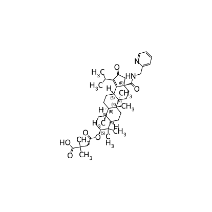 CC(C)C1=C2[C@H]3CC[C@@H]4[C@@]5(C)CC[C@H](OC(=O)CC(C)(C)C(=O)O)C(C)(C)[C@@H]5CC[C@@]4(C)[C@]3(C)CC[C@@]2(C(=O)NCc2ccccn2)CC1=O